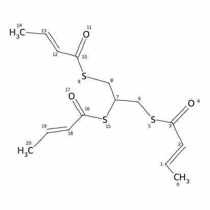 CC=CC(=O)SCC(CSC(=O)C=CC)SC(=O)C=CC